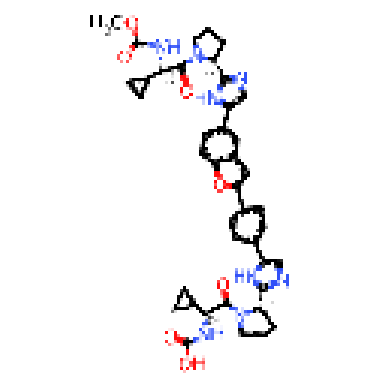 COC(=O)N[C@H](C(=O)N1CCC[C@H]1c1ncc(-c2ccc3oc(-c4ccc(-c5cnc([C@@H]6CCCN6C(=O)[C@@H](NC(=O)O)C6CC6)[nH]5)cc4)cc3c2)[nH]1)C1CC1